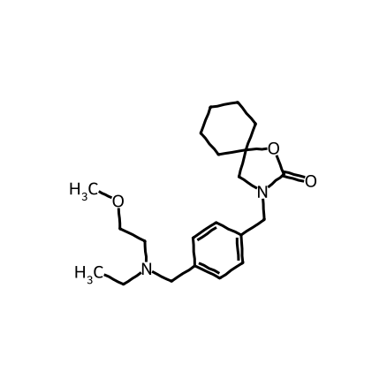 CCN(CCOC)Cc1ccc(CN2CC3(CCCCC3)OC2=O)cc1